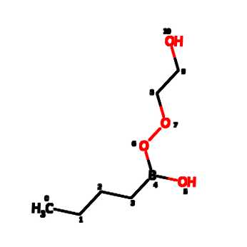 CCCCB(O)OOCCO